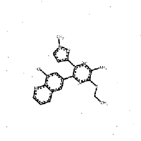 CCSc1nc(-c2cc(Cl)c3ncccc3c2)c(-c2ccn(C)n2)nc1N